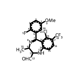 COc1ccc(F)c(C2=NC(C)C(C=O)Nc3ccc(C(F)(F)F)c(Cl)c32)c1